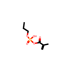 C=C(C)C(=O)OP(=O)(O)OCCC